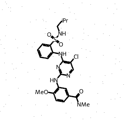 CNC(=O)c1ccc(OC)c(Nc2ncc(Cl)c(Nc3ccccc3S(=O)(=O)NCC(C)C)n2)c1